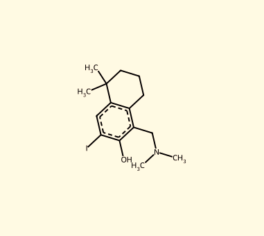 CN(C)Cc1c(O)c(I)cc2c1CCCC2(C)C